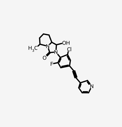 CC1CCCC2C(O)N(c3c(F)cc(C#Cc4cccnc4)cc3Cl)C(=O)N12